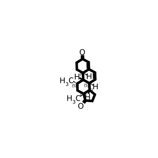 C[C@H]1C[C@]2(C)C(=O)CC[C@H]2[C@@H]2C=CC3=CC(=O)CC[C@@H]3[C@H]21